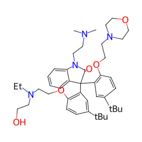 CCN(CCO)CCOc1ccc(C(C)(C)C)cc1C1(c2cc(C(C)(C)C)ccc2OCCN2CCOCC2)C(=O)N(CCN(C)C)c2ccccc21